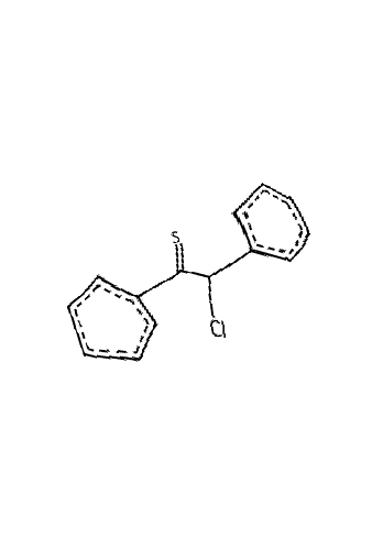 S=C(c1ccccc1)C(Cl)c1ccccc1